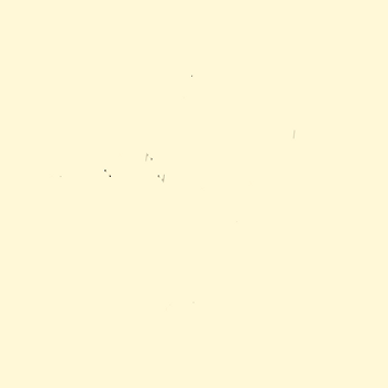 C=C(C)C#Cc1cc(-c2nn(-c3nc(C(=O)O)cs3)c(CC3CC3)c2Cc2ccc(C)c(F)c2)ccc1F